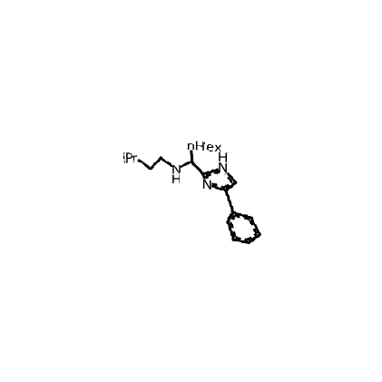 CCCCCCC(NCCC(C)C)c1nc(-c2ccccc2)c[nH]1